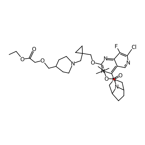 CCOC(=O)COCC1CCN(CC2(COc3nc(N4CC5CCC(C4)N5C(=O)OC(C)(C)C)c4cnc(Cl)c(F)c4n3)CC2)CC1